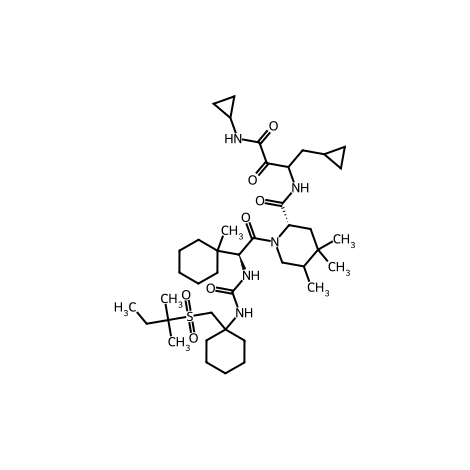 CCC(C)(C)S(=O)(=O)CC1(NC(=O)N[C@H](C(=O)N2CC(C)C(C)(C)C[C@H]2C(=O)NC(CC2CC2)C(=O)C(=O)NC2CC2)C2(C)CCCCC2)CCCCC1